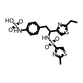 CCc1nc(C(Cc2ccc(NS(=O)(=O)O)cc2)NS(=O)(=O)c2csc(C)n2)cs1